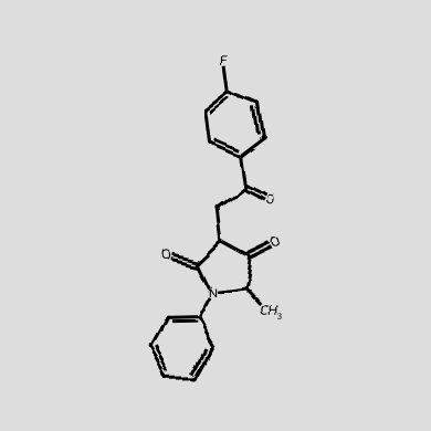 CC1C(=O)C(CC(=O)c2ccc(F)cc2)C(=O)N1c1ccccc1